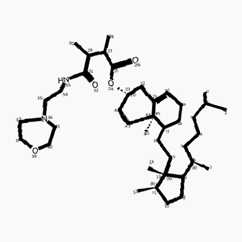 CC(C)CCC[C@@H](C)C1CC[C@@H](C)[C@]1(C)CCC1CCC=C2C[C@@H](OC(=O)C(C)C(C)C(=O)NCCN3CCOCC3)CC[C@@]21C